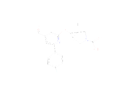 O=Cc1cc(OC2[C@H]3CN(C(=O)O)C[C@@H]23)nc(-c2ccc(F)cc2)c1